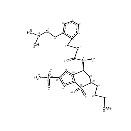 CCN(C(=O)OCc1ccccc1CON(O)O)[C@H]1CN(CCCOC)S(=O)(=O)c2sc(S(N)(=O)=O)cc21